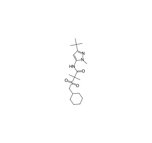 Cn1nc(C(C)(C)C)cc1NC(=O)C(C)(C)S(=O)(=O)CC1CCCCC1